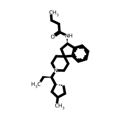 CCCC(=O)N[C@H]1CC2(CCN([C@H](CC)[C@@H]3CCC(C)C3)CC2)c2ccccc21